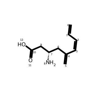 C=C/C=C\C(=C)C[C@H](N)CC(=O)O